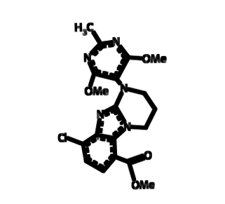 COC(=O)c1ccc(Cl)c2nc3n(c12)CCCN3c1c(OC)nc(C)nc1OC